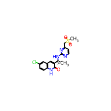 C[C@H](Nc1nccc(CS(C)(=O)=O)n1)c1cc2cc(Cl)ccc2[nH]c1=O